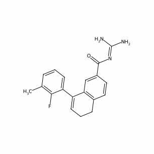 Cc1cccc(C2=CCCc3ccc(C(=O)N=C(N)N)cc32)c1F